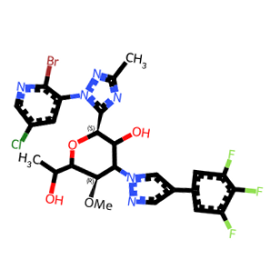 CO[C@H]1C(C(C)O)O[C@@H](c2nc(C)nn2-c2cc(Cl)cnc2Br)C(O)C1n1cc(-c2cc(F)c(F)c(F)c2)cn1